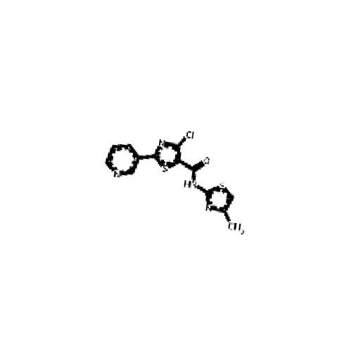 Cc1csc(NC(=O)c2sc(-c3cccnc3)nc2Cl)n1